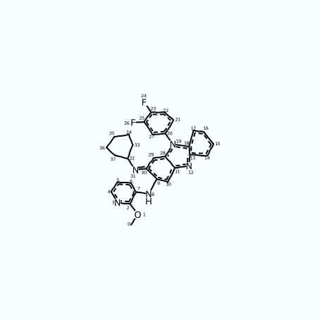 COc1ncccc1Nc1cc2nc3ccccc3n(-c3ccc(F)c(F)c3)c-2cc1=NC1CCCCC1